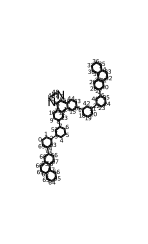 c1cc(-c2cccc(-c3ccc4c(c3)c3cc(-c5cccc(-c6cccc(-c7ccc8c(ccc9ccccc98)c7)c6)c5)ccc3c3nccnc43)c2)cc(-c2ccc3c(ccc4ccccc43)c2)c1